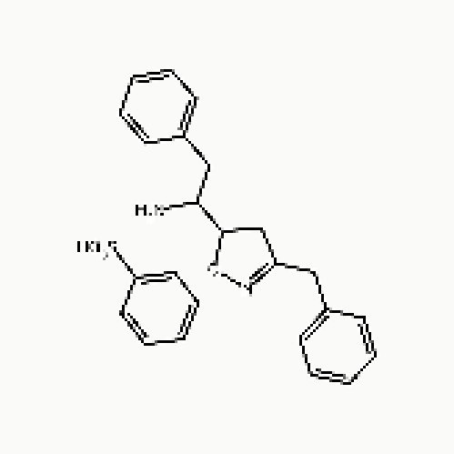 NC(Cc1ccccc1)C1CC(Cc2ccccc2)=NO1.O=S(=O)(O)c1ccccc1